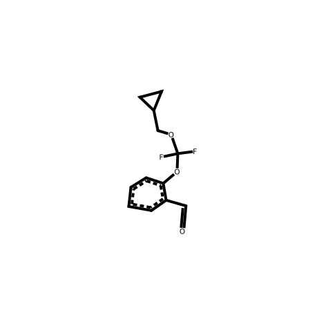 O=Cc1ccccc1OC(F)(F)OCC1CC1